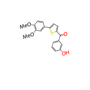 COc1ccc(-c2ccc(C(=O)c3cccc(O)c3)s2)cc1OC